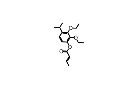 CC=CC(=O)Oc1ccc(C(C)C)c(OCC)c1OCC